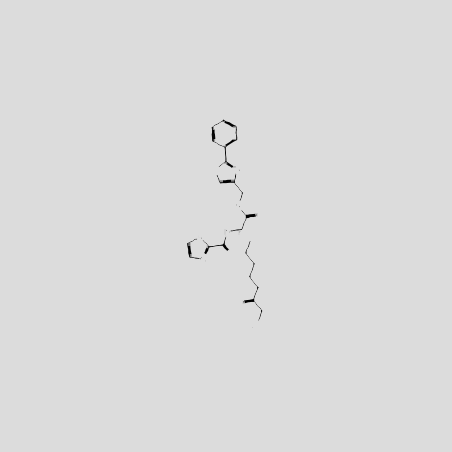 CCC(=O)CCCCC[C@H](NC(=O)c1ncc[nH]1)C(=O)NCc1csc(-c2ccccc2)n1